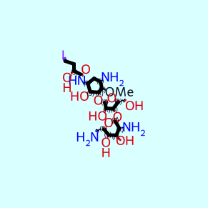 CO[C@H]1[C@H](O[C@@H]2O[C@H](CO)[C@@H](O[C@H]3O[C@@H](CN)[C@@H](O)[C@H](O)[C@H]3N)[C@H]2O)[C@@H](O)[C@H](NC(=O)[C@@H](O)CCI)C[C@@H]1N